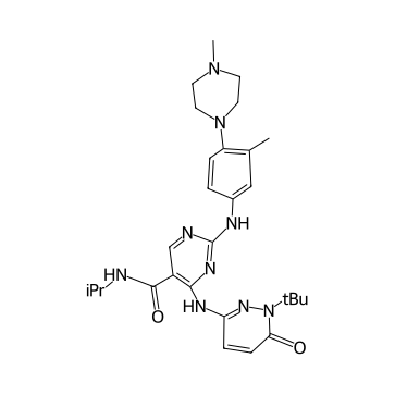 Cc1cc(Nc2ncc(C(=O)NC(C)C)c(Nc3ccc(=O)n(C(C)(C)C)n3)n2)ccc1N1CCN(C)CC1